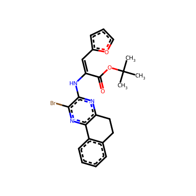 CC(C)(C)OC(=O)C(=Cc1ccco1)Nc1nc2c(nc1Br)-c1ccccc1CC2